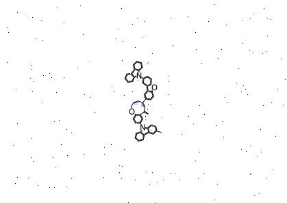 C=C1/C=C(c2ccc3oc4ccc(-n5c6ccccc6c6ccccc65)cc4c3c2)\C=C/COc2ccc(-n3c4ccccc4c4cc(C)ccc43)cc21